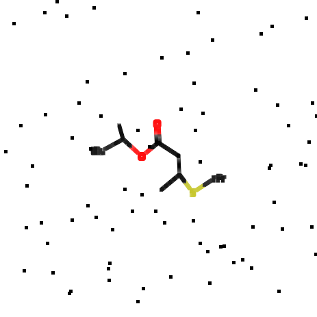 CCCSC(C)CC(=O)OC(C)C(C)(C)C